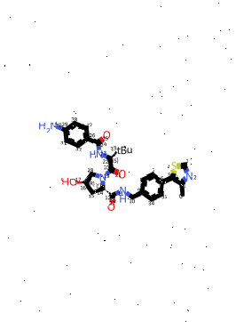 Cc1ncsc1-c1ccc(CNC(=O)[C@@H]2C[C@@H](O)CN2C(=O)[C@@H](NC(=O)c2ccc(N)cc2)C(C)(C)C)cc1